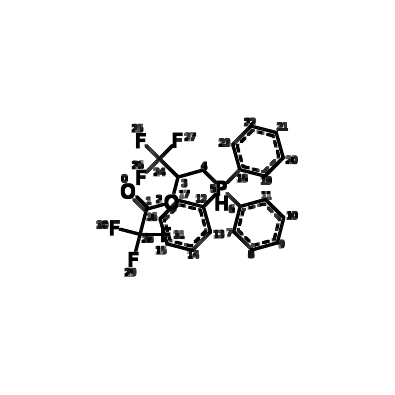 O=C(OC(C[PH](c1ccccc1)(c1ccccc1)c1ccccc1)C(F)(F)F)C(F)(F)F